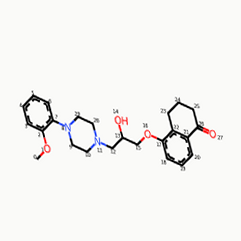 COc1ccccc1N1CCN(CC(O)COc2cccc3c2CCCC3=O)CC1